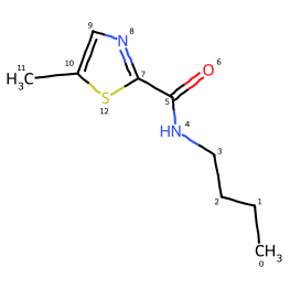 CCCCNC(=O)c1ncc(C)s1